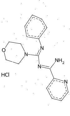 Cl.N/C(=N\C(=N\c1ccccc1)N1CCOCC1)c1ccccn1